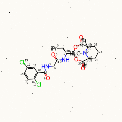 CC(C)C[C@H](NC(=O)CNC(=O)c1cc(Cl)ccc1Cl)B1OC(=O)[C@@H]2CCC[C@@H](C(=O)O1)N2C